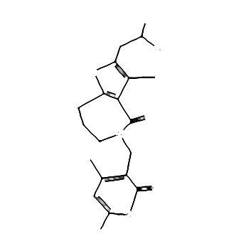 CCCC(CCC)Cc1sc2c(c1C)C(=O)N(Cc1c(C)cc(C)[nH]c1=O)CCC2